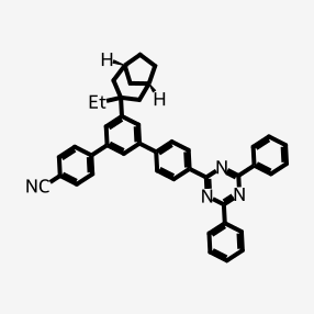 CCC1(c2cc(-c3ccc(C#N)cc3)cc(-c3ccc(-c4nc(-c5ccccc5)nc(-c5ccccc5)n4)cc3)c2)C[C@@H]2CC[C@@H](C2)C1